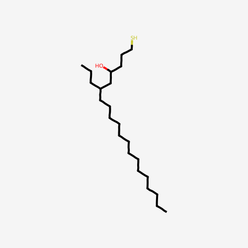 CCCCCCCCCCCCCCC(CCC)CC(O)CCCS